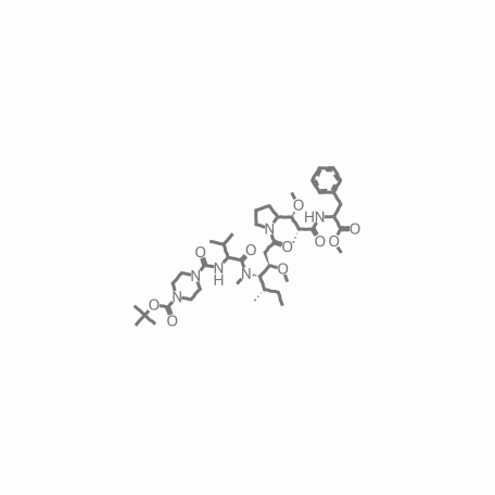 CC[C@H](C)[C@@H]([C@@H](CC(=O)N1CCCC1[C@H](OC)[C@@H](C)C(=O)NC(Cc1ccccc1)C(=O)OC)OC)N(C)C(=O)C(NC(=O)N1CCN(C(=O)OC(C)(C)C)CC1)C(C)C